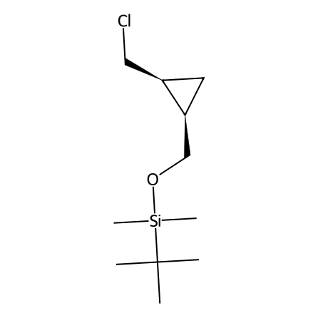 CC(C)(C)[Si](C)(C)OC[C@@H]1C[C@@H]1CCl